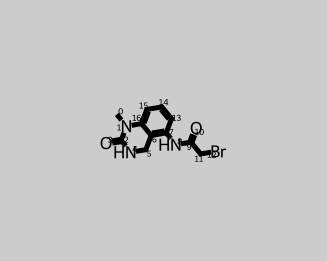 CN1C(=O)NCc2c(NC(=O)CBr)cccc21